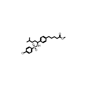 COC(=O)CCCCc1ccc(C(CCC(C)C)NS(=O)(=O)c2ccc(Cl)cc2)cc1